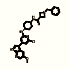 COc1cnc2[nH]cc(-c3cc(Cl)nc(N[C@H]4CC[C@H](NC(=O)C5CN(Cc6ccccc6)C5)CC4)c3)c2c1